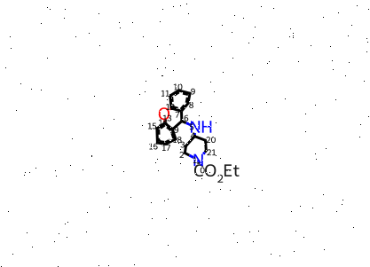 CCOC(=O)N1CCC(NC2c3ccccc3Oc3ccccc32)CC1